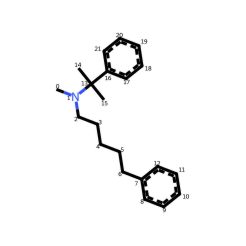 CN(CCCCCc1ccccc1)C(C)(C)c1ccccc1